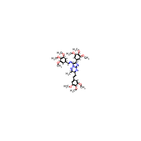 COc1cc(/C=C/c2nc3nc(-c4cc(OC)c(OC)c(OC)c4)c(/N=C/c4cc(OC)c(OC)c(OC)c4)n3nc2C)cc(OC)c1OC